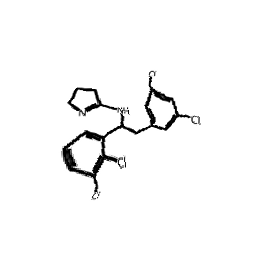 Clc1cc(Cl)cc(CC(NC2=NCCC2)c2cccc(Cl)c2Cl)c1